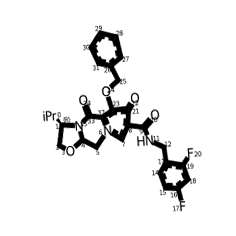 CC(C)[C@@H]1COC2Cn3cc(C(=O)NCc4ccc(F)cc4F)c(=O)c(OCc4ccccc4)c3C(=O)N21